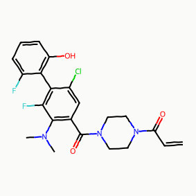 C=CC(=O)N1CCN(C(=O)c2cc(Cl)c(-c3c(O)cccc3F)c(F)c2N(C)C)CC1